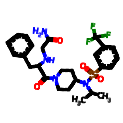 CC(C)N(C1CCN(C(=O)C(Cc2ccccc2)NCC(N)=O)CC1)S(=O)(=O)c1cccc(C(F)(F)F)c1